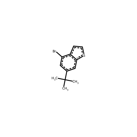 CC(C)(C)c1cc(Br)c2ccsc2c1